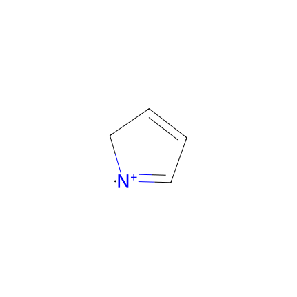 C1=CC[N+]=C1